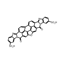 O=c1c2cc3oc4cc5c(=O)n6c7cc(S(=O)(=O)O)ccc7nc6c6ccc7c8ccc(c2c8c3c4c7c56)c2nc3ccc(S(=O)(=O)O)cc3n12